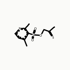 CC(=S)COS(=O)(=O)c1c(C)ccnc1C